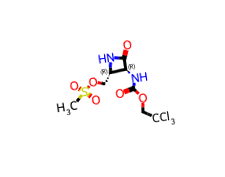 CS(=O)(=O)OC[C@@H]1NC(=O)[C@@H]1NC(=O)OCC(Cl)(Cl)Cl